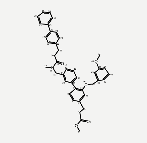 COC(=O)CCc1ccc(-c2cccc(CN(C)C(=O)CCc3ccc(-c4ccccc4)cc3)c2)c(OCc2cccc(OC)c2)c1